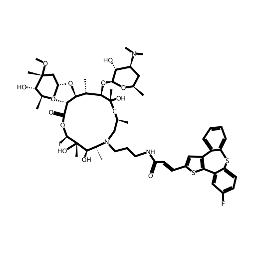 CO[C@]1(C)C[C@H](O[C@H]2[C@H](C)[C@@H](O[C@@H]3O[C@H](C)C[C@H](N(C)C)[C@H]3O)[C@](C)(O)C[C@@H](C)CN(CCCNC(=O)/C=C/c3cc4c(s3)-c3cc(F)ccc3Sc3ccccc3-4)[C@H](C)[C@@H](O)[C@](C)(O)[C@@H](I)OC(=O)[C@@H]2C)O[C@@H](C)[C@@H]1O